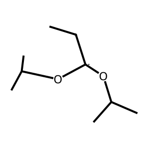 CC[C](OC(C)C)OC(C)C